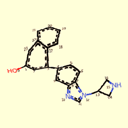 Oc1cc(-c2ccc3c(c2)ncn3C2CNC2)c2ccccc2c1